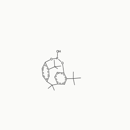 CC(C)(C)c1cc2ccc1OP(O)Oc1ccc(cc1C(C)(C)C)C2(C)C